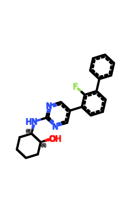 O[C@H]1CCCC[C@H]1Nc1ncc(-c2cccc(-c3ccccc3)c2F)cn1